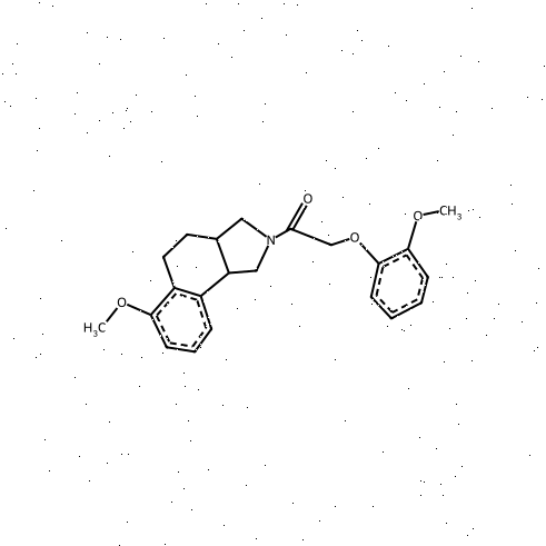 COc1ccccc1OCC(=O)N1CC2CCc3c(OC)cccc3C2C1